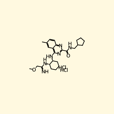 COCC(=N)N[C@@H]1CCCC[C@@H]1Nc1nc(C(=O)NCC2CCCC2)nc2ccc(C)cc12.Cl.Cl